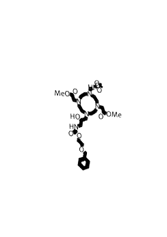 COC(=O)CN1CCN(CC(O)CNC(=O)OCCOCc2ccccc2)CCN(CC(=O)OC)CCN(C[PH]23OC(O2)O3)CC1